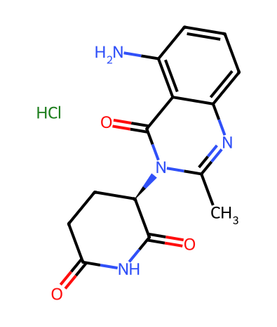 Cc1nc2cccc(N)c2c(=O)n1[C@@H]1CCC(=O)NC1=O.Cl